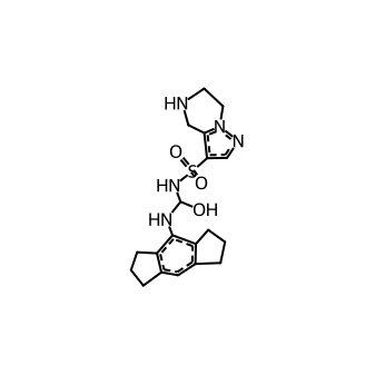 O=S(=O)(NC(O)Nc1c2c(cc3c1CCC3)CCC2)c1cnn2c1CNCC2